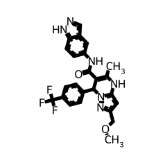 COCc1cc2n(n1)C(c1ccc(C(F)(F)F)cc1)C(C(=O)Nc1ccc3[nH]ncc3c1)=C(C)N2